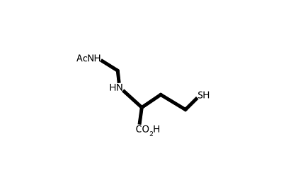 CC(=O)NCNC(CCS)C(=O)O